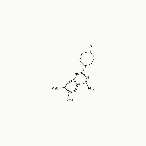 COc1cc2nc(N3CCC(=O)CC3)nc(N)c2cc1OC